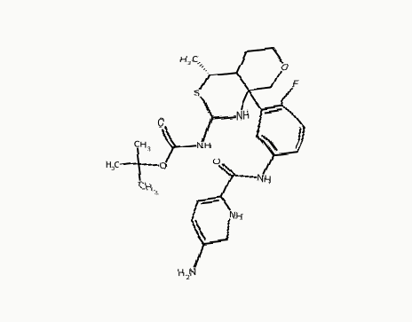 C[C@H]1SC(NC(=O)OC(C)(C)C)NC2(c3cc(NC(=O)C4=CC=C(N)CN4)ccc3F)COCCC12